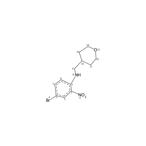 O=[N+]([O-])c1cc(Br)ccc1NCC1CCOCC1